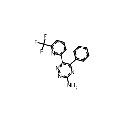 Nc1nnc(-c2cccc(C(F)(F)F)n2)c(-c2ccccc2)n1